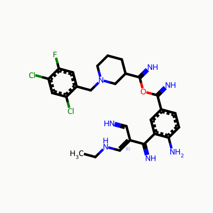 CCN/C=C(\C=N)C(=N)c1cc(C(=N)OC(=N)C2CCCN(Cc3cc(F)c(Cl)cc3Cl)C2)ccc1N